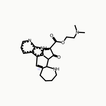 CN(C)CCOC(=O)C1=COC(C2NCCCC/C2=C/c2c[nH]c3ncccc23)C1=O